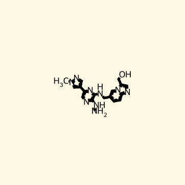 Cn1cc(-c2cnc(NN)c(NCc3ccc4ncc(CO)n4c3)n2)cn1